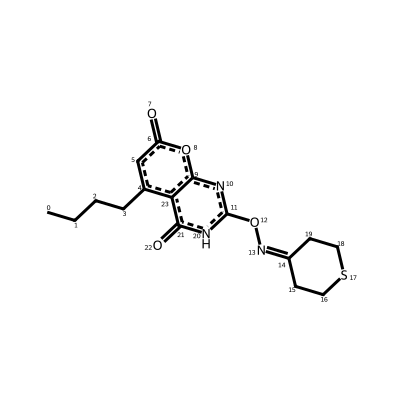 CCCCc1cc(=O)oc2nc(ON=C3CCSCC3)[nH]c(=O)c12